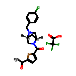 O=C(O)C(F)(F)F.O=C(c1ccc(C(=O)C(F)(F)F)s1)N1C[C@@H]2C[C@H]1CN2Cc1ccc(Cl)cc1